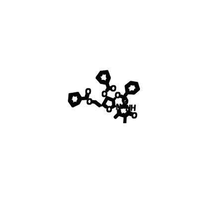 Cc1c(C)n([C@@H]2O[C@H](CCOC(=O)c3ccccc3)[C@@H](OC(=O)c3ccccc3)[C@H]2OC(=O)c2ccccc2)c(=O)[nH]c1=O